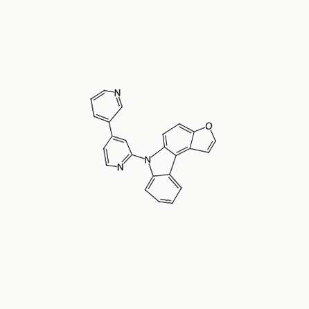 c1cncc(-c2ccnc(-n3c4ccccc4c4c5ccoc5ccc43)c2)c1